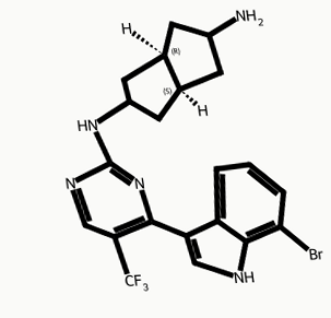 NC1C[C@@H]2CC(Nc3ncc(C(F)(F)F)c(-c4c[nH]c5c(Br)cccc45)n3)C[C@@H]2C1